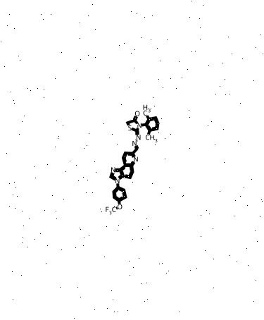 Cc1cccc(C)c1N1C(=O)CS/C1=N\N=C\c1ccc2c(ccc3c2ncn3-c2ccc(OC(F)(F)F)cc2)n1